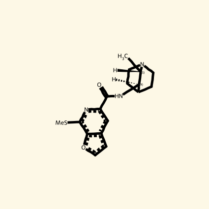 CSc1nc(C(=O)N[C@@H]2C3CCN(CC3)[C@H]2C)cc2ccoc12